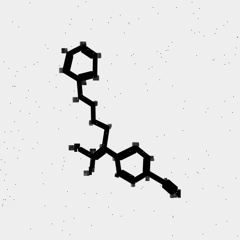 N#Cc1ccc(C(CCCCc2ccccc2)=C(F)F)cc1